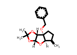 C=C1CC[C@@]2(OCc3ccccc3)[C@@H]1O[C@@H]1OC(C)(C)O[C@@H]12